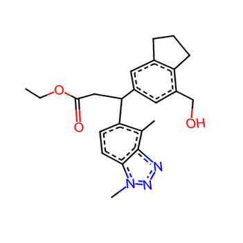 CCOC(=O)CC(c1cc(CO)c2c(c1)CCC2)c1ccc2c(nnn2C)c1C